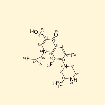 CC1CN(c2c(F)cc3c(=O)c(C(=O)O)cn(C4CC4F)c3c2F)CCN1